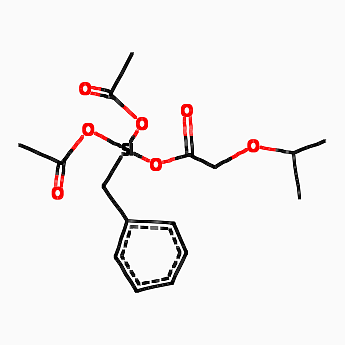 CC(=O)O[Si](Cc1ccccc1)(OC(C)=O)OC(=O)COC(C)C